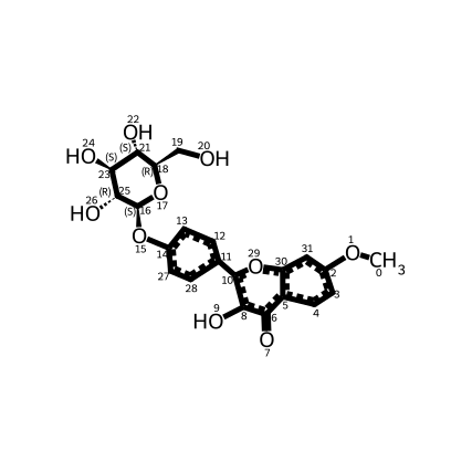 COc1ccc2c(=O)c(O)c(-c3ccc(O[C@@H]4O[C@H](CO)[C@@H](O)[C@H](O)[C@H]4O)cc3)oc2c1